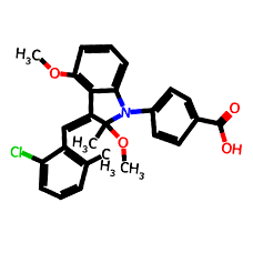 COc1cccc2c1/C(=C/c1c(C)cccc1Cl)C(C)(OC)N2c1ccc(C(=O)O)cc1